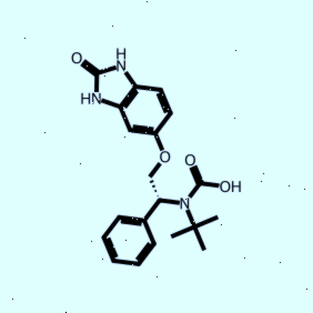 CC(C)(C)N(C(=O)O)[C@@H](COc1ccc2[nH]c(=O)[nH]c2c1)c1ccccc1